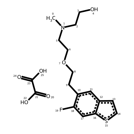 CN(CCO)CCOCCc1cc2ccsc2cc1F.O=C(O)C(=O)O